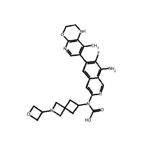 Cc1c(-c2cc3cc(N(C(=O)O)C4CC5(C4)CN(C4COC4)C5)ncc3c(N)c2F)cnc2c1NCCO2